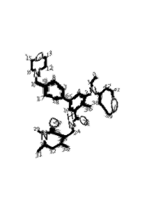 CCN(c1cc(-c2ccc(CN3CCOCC3)cc2)cc(C(=O)NCC2C(=O)N(C)C(C)CC2C)c1C)C1CCOCC1